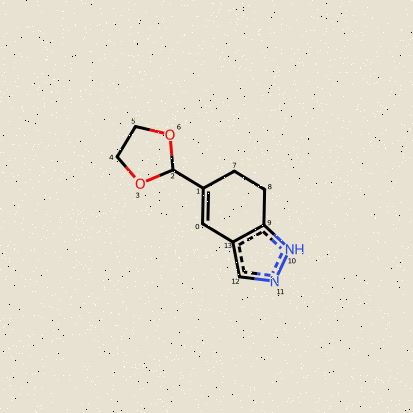 C1=C(C2OCCO2)CCc2[nH]ncc21